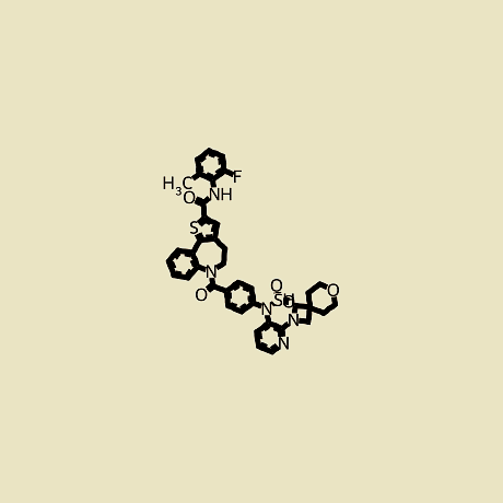 Cc1cccc(F)c1NC(=O)c1cc2c(s1)-c1ccccc1N(C(=O)c1ccc(N(c3cccnc3N3CC4(CCOCC4)C3)[SH](=O)=O)cc1)CC2